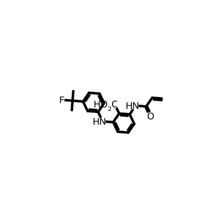 C=CC(=O)Nc1cccc(Nc2cccc(C(C)(C)F)c2)c1C(=O)O